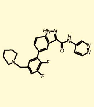 O=C(Nc1ccnnc1)c1n[nH]c2ccc(-c3cc(CN4CCCCC4)cc(F)c3F)cc12